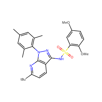 COc1ccc(OC)c(S(=O)(=O)Nc2nn(-c3c(C)cc(C)cc3C)c3nc(C(C)(C)C)ccc23)c1